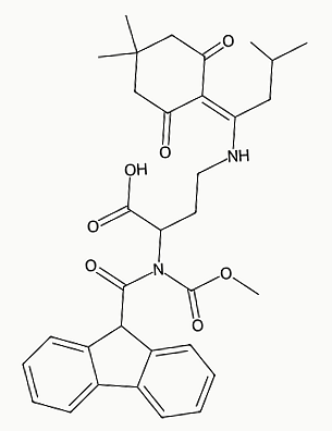 COC(=O)N(C(=O)C1c2ccccc2-c2ccccc21)C(CCNC(CC(C)C)=C1C(=O)CC(C)(C)CC1=O)C(=O)O